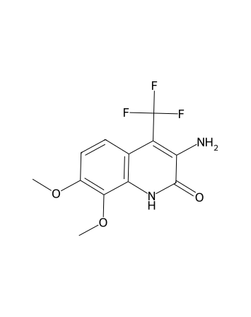 COc1ccc2c(C(F)(F)F)c(N)c(=O)[nH]c2c1OC